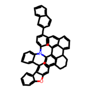 c1ccc(N(c2ccc(-c3ccc4ccccc4c3)cc2)c2ccccc2-c2cccc3oc4ccccc4c23)c(-c2cccc3cccc(C4CCCCC4)c23)c1